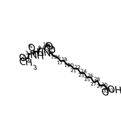 COCCNC(=O)CC[C@@H](C=O)NC(=O)CCCCCCCCCCCCCCCCC(=O)O